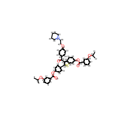 CC(C)Oc1cccc(C(=O)Oc2ccc(-c3sc4cc(OC(=O)c5cccc(OC(C)C)c5)ccc4c3C(=O)c3ccc(OCCN4CCCCC4)cc3)cc2)c1